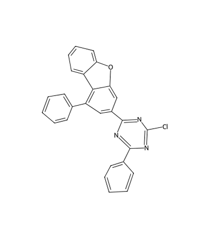 Clc1nc(-c2ccccc2)nc(-c2cc(-c3ccccc3)c3c(c2)oc2ccccc23)n1